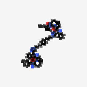 CN[C@@H](C)C(=O)N[C@H]1CCCC[C@H]2CCC(C(=O)NC(c3ccccc3)c3cn(CCCCc4ccc(CCCCn5cc([C@@H](NC(=O)[C@@H]6CC[C@@H]7CCCC[C@H](NC(=O)[C@H](C)NC)C(=O)N76)c6ccccc6)nn5)cc4)nn3)N2C1=O